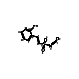 O=C=NS(=O)(=O)/C=C/c1ccccc1F